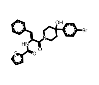 O=C(NC(=Cc1ccccc1)C(=O)N1CCC(O)(c2ccc(Br)cc2)CC1)c1cccs1